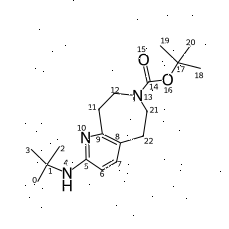 CC(C)(C)Nc1ccc2c(n1)CCN(C(=O)OC(C)(C)C)CC2